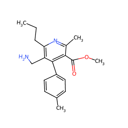 CCCc1nc(C)c(C(=O)OC)c(-c2ccc(C)cc2)c1CN